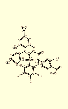 COC(=O)c1ccc(NC(=O)C(Cc2cc(C3CC3)cc(C(C)(C)C)c2)N(Cc2ccc(Cl)cc2)S(=O)(=O)c2c(F)c(F)c(F)c(F)c2F)cc1O